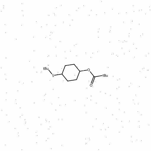 CC(C)(C)SC1CCC(OC(=O)C(C)(C)C)CC1